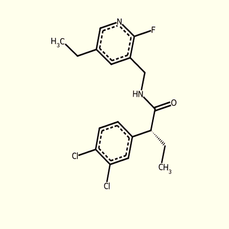 CCc1cnc(F)c(CNC(=O)[C@H](CC)c2ccc(Cl)c(Cl)c2)c1